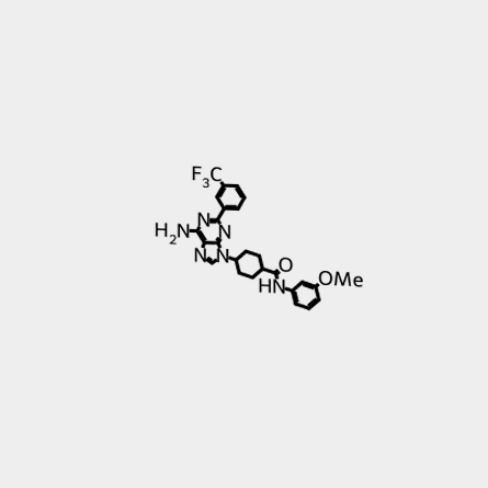 COc1cccc(NC(=O)C2CCC(n3cnc4c(N)nc(-c5cccc(C(F)(F)F)c5)nc43)CC2)c1